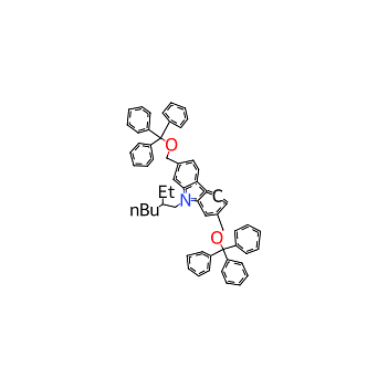 CCCCC(CC)Cn1c2cc(COC(c3ccccc3)(c3ccccc3)c3ccccc3)ccc2c2ccc(COC(c3ccccc3)(c3ccccc3)c3ccccc3)cc21